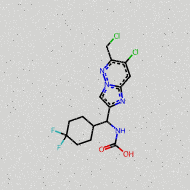 O=C(O)NC(c1cn2nc(CCl)c(Cl)cc2n1)C1CCC(F)(F)CC1